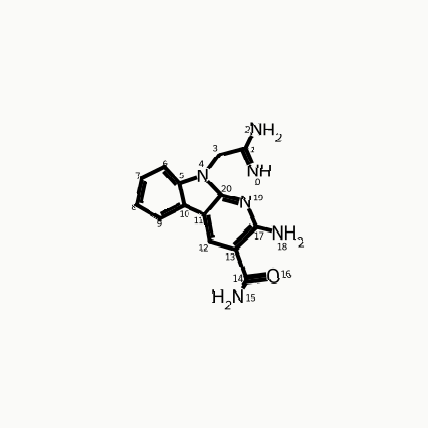 N=C(N)Cn1c2ccccc2c2cc(C(N)=O)c(N)nc21